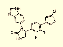 O=C1NCC(c2ccc(-c3csc(Cl)c3)c(F)c2F)N1c1ccc2[nH]cnc2c1